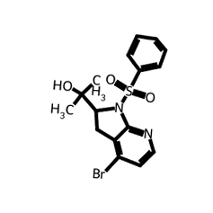 CC(C)(O)C1Cc2c(Br)ccnc2N1S(=O)(=O)c1ccccc1